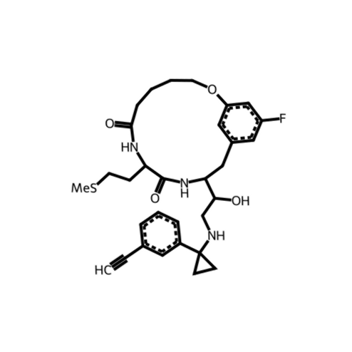 C#Cc1cccc(C2(NCC(O)C3Cc4cc(F)cc(c4)OCCCCC(=O)NC(CCSC)C(=O)N3)CC2)c1